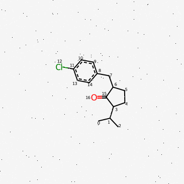 CC(C)C1CCC(Cc2ccc(Cl)cc2)C1=O